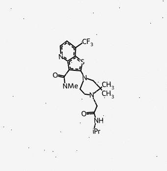 CNC(=O)c1c(N2CCN(CC(=O)NC(C)C)C(C)(C)C2)sc2c(C(F)(F)F)ccnc12